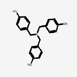 Oc1ccc(CN(Cc2ccc(O)cc2)Cc2ccc(O)cc2)cc1